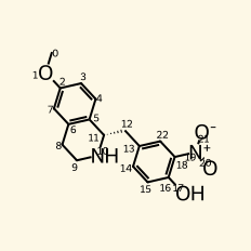 COc1ccc2c(c1)CCN[C@H]2Cc1ccc(O)c([N+](=O)[O-])c1